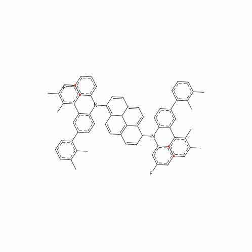 Cc1cccc(-c2ccc(N(C3=C4C=CC5=C6C(=CC=C(C=C3)C46)C(N(c3cccc(F)c3)c3ccc(-c4cccc(C)c4C)cc3-c3cccc(C)c3C)C=C5)c3cccc(F)c3)c(-c3cccc(C)c3C)c2)c1C